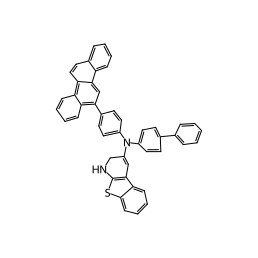 C1=C(N(c2ccc(-c3ccccc3)cc2)c2ccc(-c3cc4c5ccccc5ccc4c4ccccc34)cc2)CNc2sc3ccccc3c21